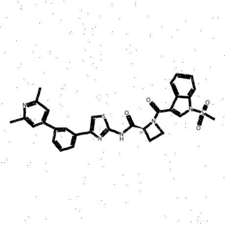 Cc1cc(-c2cccc(-c3csc(NC(=O)[C@@H]4CCN4C(=O)c4cn(S(C)(=O)=O)c5ccccc45)n3)c2)cc(C)n1